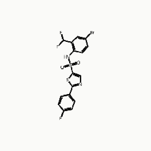 O=S(=O)(Nc1ccc(Br)cc1C(F)F)c1cnc(-c2ccc(F)cc2)s1